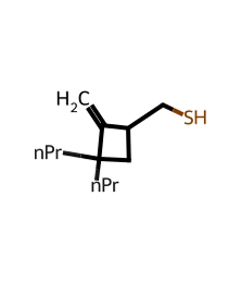 C=C1C(CS)CC1(CCC)CCC